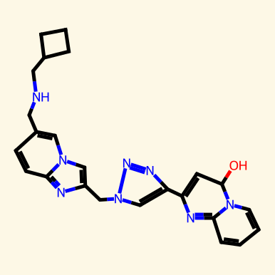 OC1C=C(c2cn(Cc3cn4cc(CNCC5CCC5)ccc4n3)nn2)N=C2C=CC=CN21